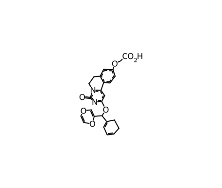 O=C(O)COc1ccc2c(c1)CCn1c-2cc(OC(C2=CC=CCC2)C2=COC=CO2)nc1=O